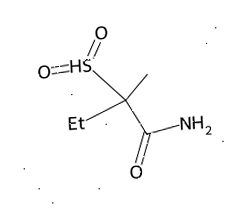 CCC(C)(C(N)=O)[SH](=O)=O